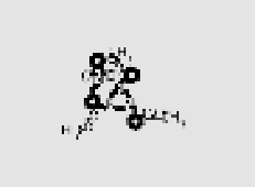 COCOc1ccccc1CN1CCN(Cc2ccccc2OCOC)CCN(Cc2cc(CCN3C(=O)c4ccccc4C3=O)ccc2OCOC)CC1